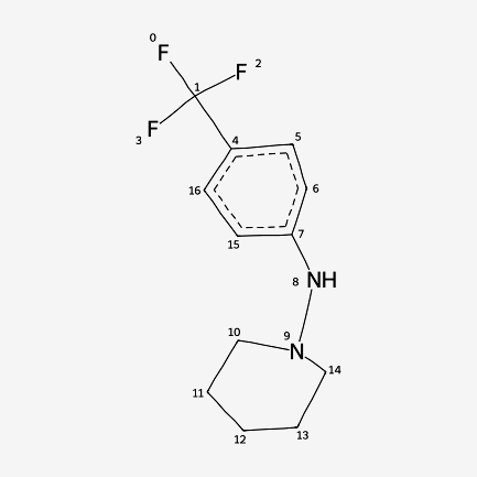 FC(F)(F)c1ccc(NN2CCCCC2)cc1